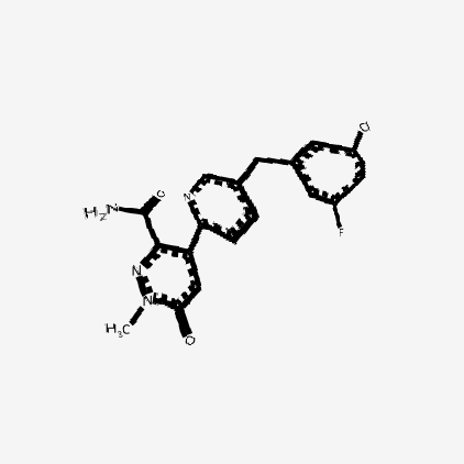 Cn1nc(C(N)=O)c(-c2ccc(Cc3cc(F)cc(Cl)c3)cn2)cc1=O